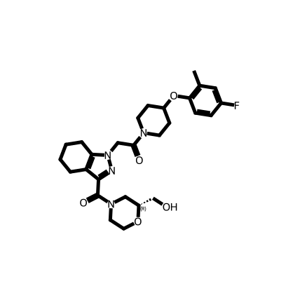 Cc1cc(F)ccc1OC1CCN(C(=O)Cn2nc(C(=O)N3CCO[C@@H](CO)C3)c3c2CCCC3)CC1